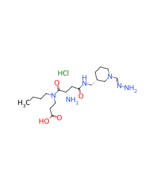 CCCCN(CCC(=O)O)C(=O)[C@@H](N)CC(=O)NC[C@@H]1CCCN(C=NN)C1.Cl